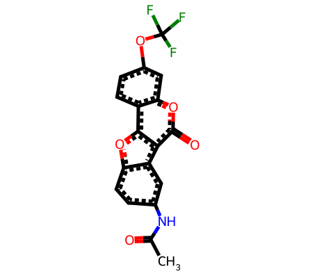 CC(=O)Nc1ccc2oc3c4ccc(OC(F)(F)F)cc4oc(=O)c3c2c1